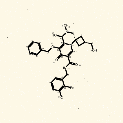 CN1C[C@]2(C[C@H](CO)C2)n2cc(C(=O)NCc3cccc(Cl)c3F)c(=O)c(OCc3ccccc3)c2C1O